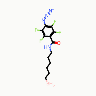 BCCCCCCNC(=O)c1c(F)c(F)c(N=[N+]=[N-])c(F)c1F